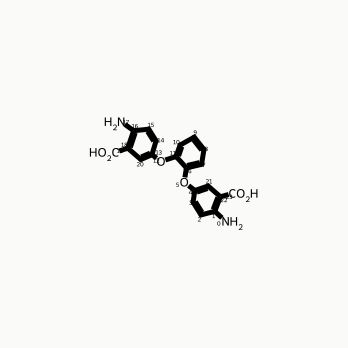 Nc1ccc(Oc2ccccc2Oc2ccc(N)c(C(=O)O)c2)cc1C(=O)O